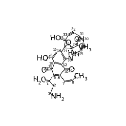 C=C(CCN)C1=C(/C=C\C)C(=O)c2c3c(cc(O)c2C1=O)[C@@]12O[C@@]1([C@@H](C)O)[C@H](C#C/C=C\C#CC2O)N3